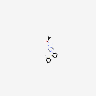 Cc1ccc(Sc2ccccc2N2CCN(CNC(=O)C3CC3)CC2)c(C)c1